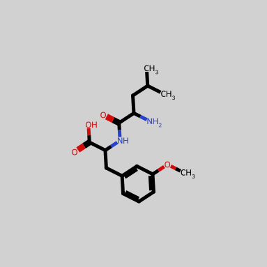 COc1cccc(CC(NC(=O)C(N)CC(C)C)C(=O)O)c1